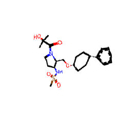 CC(C)(O)C(=O)N1CC[C@H](NS(C)(=O)=O)[C@@H]1CO[C@H]1CC[C@@H](c2ccccc2)CC1